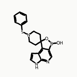 OB1OC2(CCN(Sc3ccccc3)CC2)c2c1cnc1[nH]ccc21